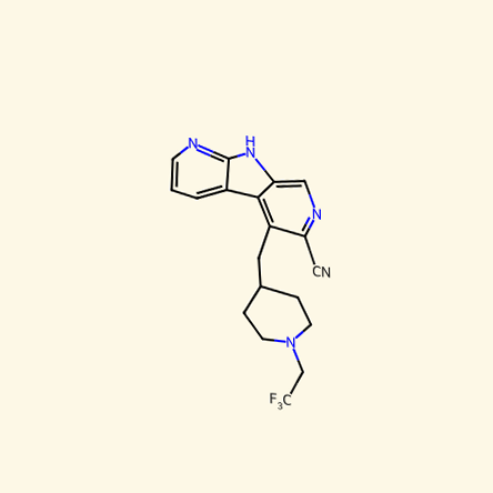 N#Cc1ncc2[nH]c3ncccc3c2c1CC1CCN(CC(F)(F)F)CC1